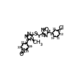 Cn1c(SCc2noc(-c3cccc(Cl)c3)n2)nnc1-c1cc[n+]([O-])cc1